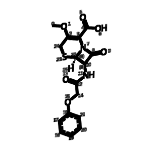 COC1=C(C(=O)O)N2C(=O)[C@@H](NC(=O)COc3ccccc3)[C@H]2SC1